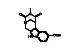 COc1ccc2[nH]c3c(c2c1)C1CN(C3)C(=O)N(C)C1=O